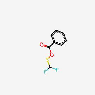 O=C(OSC(F)F)c1ccccc1